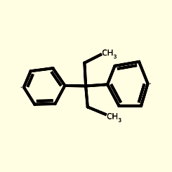 CCC(CC)(c1cc[c]cc1)c1cc[c]cc1